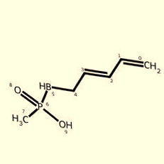 C=C/C=C/CBP(C)(=O)O